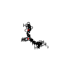 CC(=O)c1c(C)c2cnc(Nc3ccc(N4CCN(CCN5CCC(CN6CCN(c7ccc8c(c7Cl)CN(C7CCC(=O)NC7=O)C8=O)CC6)CC5)CC4)cn3)nc2n(C2CCCC2)c1=O.Cl.Cl.Cl